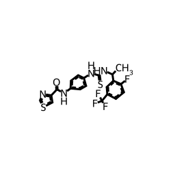 CC(NC(=S)Nc1ccc(NC(=O)c2cscn2)cc1)c1cc(C(F)(F)F)ccc1F